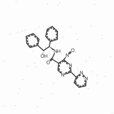 O=Nc1nc(-c2cccnn2)ncc1C(=O)N[C@H](c1ccccc1)[C@H](O)c1ccccc1